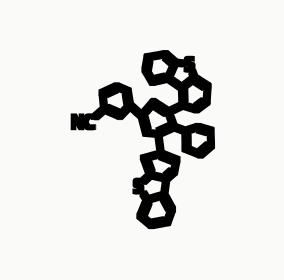 N#Cc1cccc(-c2cc(-c3ccc4c(c3)sc3ccccc34)c(-c3ccccc3)c(-c3cccc4sc5ccccc5c34)c2)c1